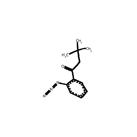 CC(C)(C)CC(=O)c1ccccc1N=[N+]=[N-]